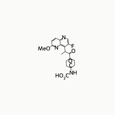 COc1ccc2ncc(F)c(C(C)C(=O)C34CCC(NC(=O)O)(CC3)CO4)c2n1